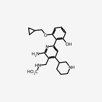 Nc1nc(-c2c(O)cccc2OCC2CC2)cc(C2CCCNC2)c1CNC(=O)O